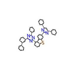 c1ccc(-c2cccc(-c3nc(-c4ccccc4)nc(-c4cccc5sc6cc(-c7nc(-c8ccccc8)cc(-c8ccccc8)n7)ccc6c45)n3)c2)cc1